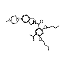 C=C(C)c1cc(C(=O)N2Cc3ccc(N4CCN(C)CC4)cc3C2)c(OCCCC)cc1OCCCC